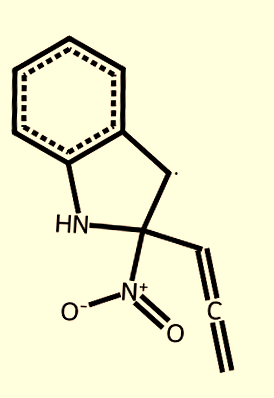 C=C=CC1([N+](=O)[O-])[CH]c2ccccc2N1